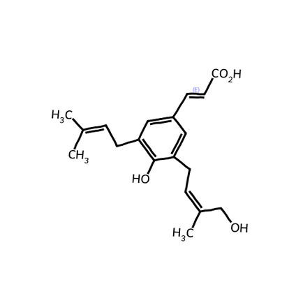 CC(C)=CCc1cc(/C=C/C(=O)O)cc(CC=C(C)CO)c1O